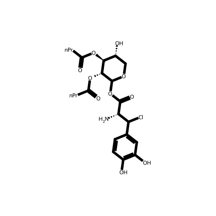 CCCC(=O)O[C@H]1[C@H](O)COC(OC(=O)[C@@H](N)C(Cl)c2ccc(O)c(O)c2)[C@@H]1OC(=O)CCC